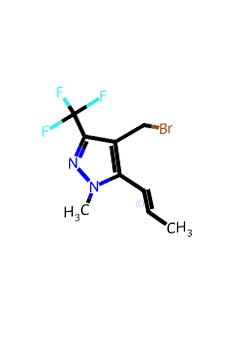 C/C=C/c1c(CBr)c(C(F)(F)F)nn1C